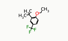 CCOc1ccc(C(F)(F)F)cc1[C](C)C